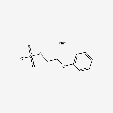 O=S([O-])(=S)OCCOc1ccccc1.[Na+]